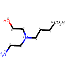 NCCN(CCO)CCCC(=O)O